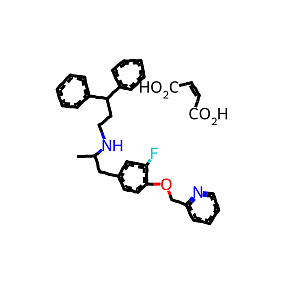 CC(Cc1ccc(OCc2ccccn2)c(F)c1)NCCC(c1ccccc1)c1ccccc1.O=C(O)/C=C\C(=O)O